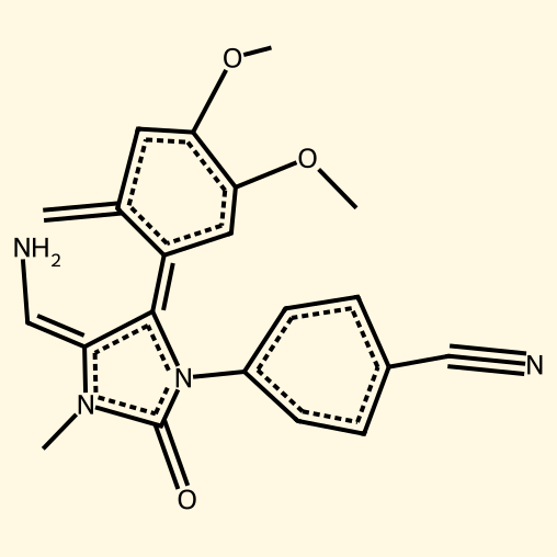 C=c1cc(OC)c(OC)c/c1=c1/c(=C\N)n(C)c(=O)n1-c1ccc(C#N)cc1